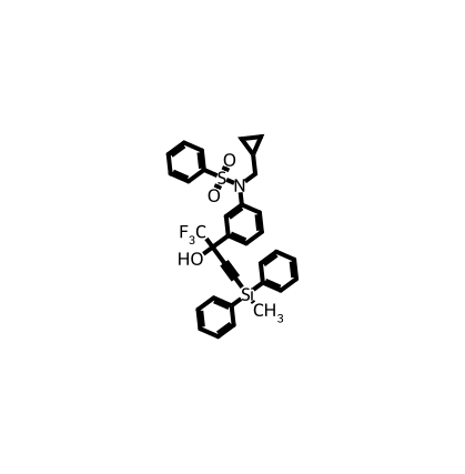 C[Si](C#CC(O)(c1cccc(N(CC2CC2)S(=O)(=O)c2ccccc2)c1)C(F)(F)F)(c1ccccc1)c1ccccc1